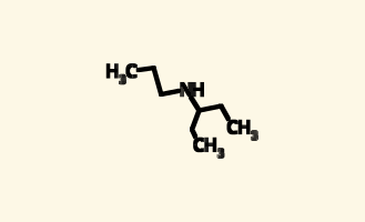 CCCNC(CC)CC